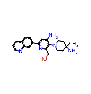 CC1(N)CCN(c2c(N)cc(-c3ccc4cccnc4c3)nc2CO)CC1